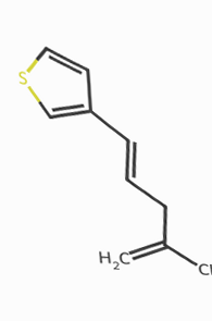 C=C(C)CC=Cc1ccsc1